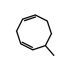 C[C]1/C=C\C/C=C\CC1